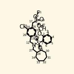 COc1ccccc1S(=O)(=O)N(Cc1ccc(CP(=O)(OF)OF)c(Cl)c1)CC1CCCCCC1